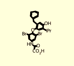 CC(C)c1cc(Oc2c(Br)cc(NC(=O)C(=O)O)cc2Br)c(Cc2ccccc2)cc1O